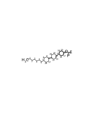 CCCCCCCC1CCC(C2CC=C(c3ccc(OC(F)F)cc3)CC2)CC1